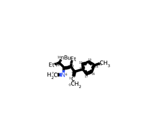 C=C=C(/C(CC)=C(\N=C)C(CC)CCCC)c1ccc(C)cc1